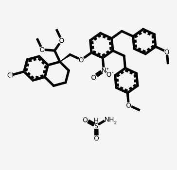 COc1ccc(Cc2ccc(OC[C@@]3(C(OC)OC)CCCc4cc(Cl)ccc43)c([N+](=O)[O-])c2Cc2ccc(OC)cc2)cc1.N[SH](=O)=O